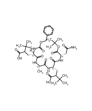 C[C@H](NC(=O)[C@H](CC(C(=O)O)C(C)(C)C)NC(=O)OCc1ccccc1)C(=O)N[C@@H](CC(C(=O)O)C(C)(C)C)C(=O)N[C@@H](CC(N)=O)C(=O)OC(C)(C)C